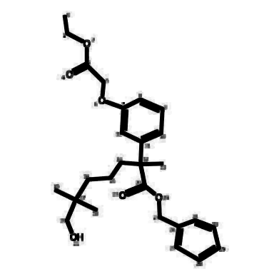 CCOC(=O)COc1cccc(C(C)(CCCC(C)(C)CO)C(=O)OCc2ccccc2)c1